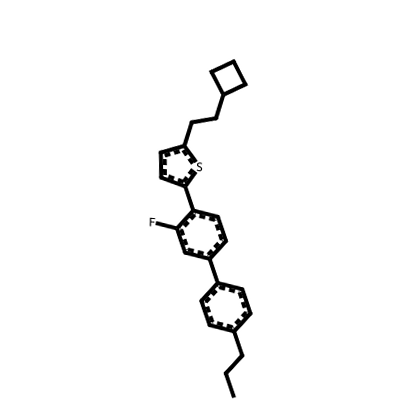 CCCc1ccc(-c2ccc(-c3ccc(CCC4CCC4)s3)c(F)c2)cc1